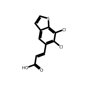 O=C(O)C=Cc1cc2ccsc2c(Cl)c1Cl